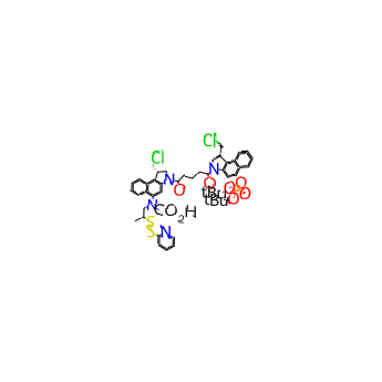 CC(CN(C(=O)O)c1cc2c(c3ccccc13)[C@H](CCl)CN2C(=O)CCCC(=O)N1C[C@@H](CCl)c2c1cc(OP(=O)(OC(C)(C)C)OC(C)(C)C)c1ccccc21)SSc1ccccn1